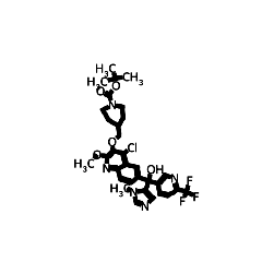 COc1nc2ccc(C(O)(c3ccc(C(F)(F)F)nc3)c3cncn3C)cc2c(Cl)c1OCC1CCN(C(=O)OC(C)(C)C)CC1